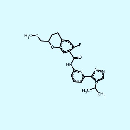 COCC1CCc2cc(F)c(C(=O)Nc3cccc(-c4nncn4C(C)C)n3)cc2O1